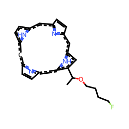 CC(OCCCCF)c1cc2cc3nc(cc4ccc(cc5nc(cc1[nH]2)C=C5)[nH]4)C=C3